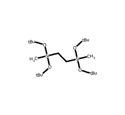 CC(C)(C)O[Si](C)(CC[Si](C)(OC(C)(C)C)OC(C)(C)C)OC(C)(C)C